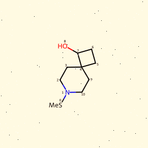 CSN1CCC2(CCC2O)CC1